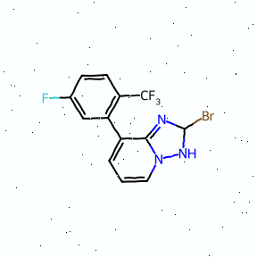 Fc1ccc(C(F)(F)F)c(C2=CC=CN3NC(Br)N=C23)c1